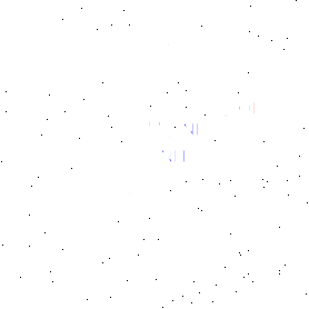 O=C(O)CC(NC(=O)NC(CSCCCc1ccccc1)CSc1ccccc1)c1ccc2c(c1)OCO2